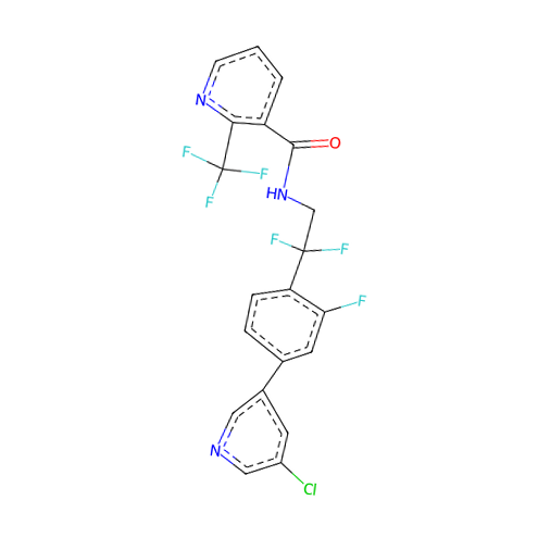 O=C(NCC(F)(F)c1ccc(-c2cncc(Cl)c2)cc1F)c1cccnc1C(F)(F)F